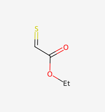 CCOC(=O)C=S